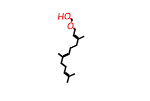 CC(C)=CCCC(C)=CCCC(C)=CCOCO